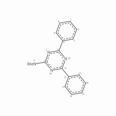 CNc1nc(-c2ccccc2)nc(-c2ccccc2)n1